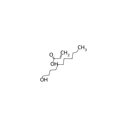 C=CC(=O)O.CCCCCCCCCCCO